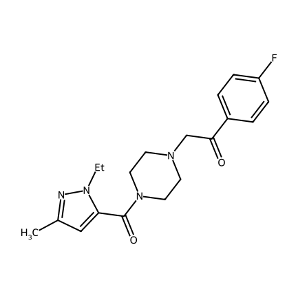 CCn1nc(C)cc1C(=O)N1CCN(CC(=O)c2ccc(F)cc2)CC1